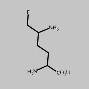 NC(CF)CCC(N)C(=O)O